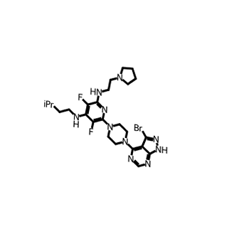 CC(C)CCNc1c(F)c(NCCN2CCCC2)nc(N2CCN(c3ncnc4[nH]nc(Br)c34)CC2)c1F